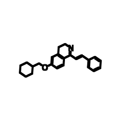 C(=C\c1ccccc1)/C1=NCCc2cc(OCC3CCCCC3)ccc21